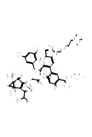 COC(=O)c1cc(-c2cc3c(cnn3COCC[Si](C)(C)C)nc2[C@H](Cc2cc(F)cc(F)c2)NC(=O)Cn2nc(C(F)F)c3c2C(F)(F)[C@@H]2C[C@H]32)ccc1Cl